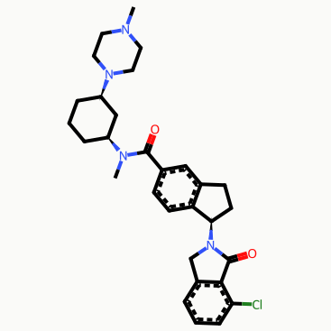 CN1CCN([C@@H]2CCC[C@H](N(C)C(=O)c3ccc4c(c3)CC[C@H]4N3Cc4cccc(Cl)c4C3=O)C2)CC1